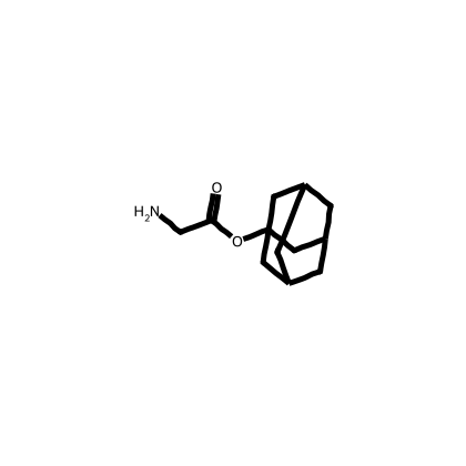 NCC(=O)OC12CC3CC(CC(C3)C1)C2